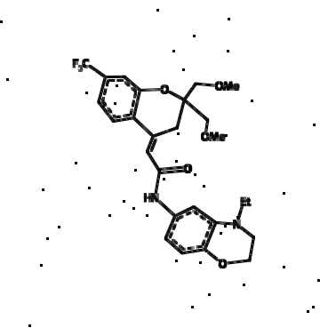 CCN1CCOc2ccc(NC(=O)C=C3CC(COC)(COC)Oc4cc(C(F)(F)F)ccc43)cc21